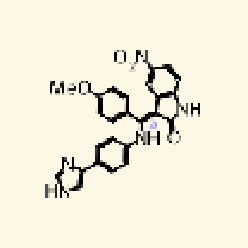 COc1ccc(/C(Nc2ccc(-c3c[nH]cn3)cc2)=C2/C(=O)Nc3ccc([N+](=O)[O-])cc32)cc1